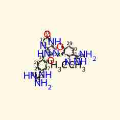 CN(C)c1cc(OC2=C3NC(=O)CN=C3NC(Oc3cccc(NC(=N)N)c3)=N2)ccc1C(=N)N